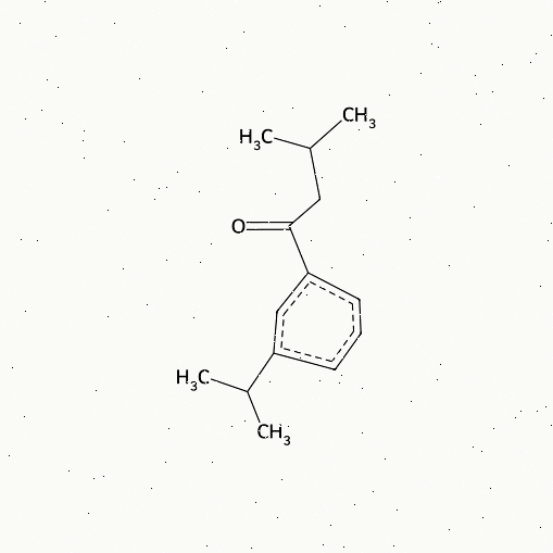 CC(C)CC(=O)c1cccc(C(C)C)c1